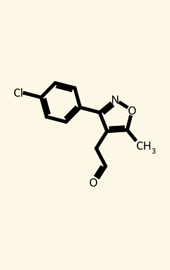 Cc1onc(-c2ccc(Cl)cc2)c1CC=O